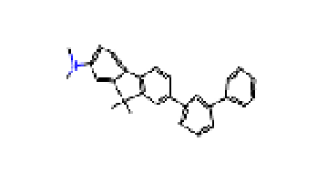 CN(C)c1ccc2c(c1)C(C)(C)c1cc(-c3cccc(-c4ccccc4)c3)ccc1-2